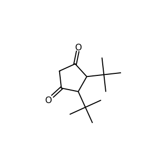 CC(C)(C)C1C(=O)CC(=O)C1C(C)(C)C